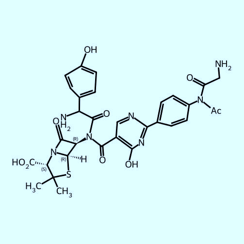 CC(=O)N(C(=O)CN)c1ccc(-c2ncc(C(=O)N(C(=O)C(N)c3ccc(O)cc3)[C@@H]3C(=O)N4[C@@H]3SC(C)(C)[C@@H]4C(=O)O)c(O)n2)cc1